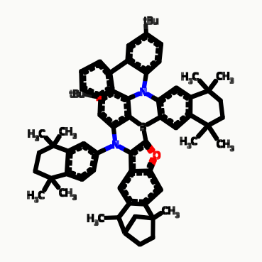 CC1c2cc3c4c(oc3cc2C2(C)CCC1C2)B1c2cc3c(cc2N(c2ccc(C(C)(C)C)cc2-c2ccccc2)c2cc(C(C)(C)C)cc(c21)N4c1ccc2c(c1)C(C)(C)CCC2(C)C)C(C)(C)CCC3(C)C